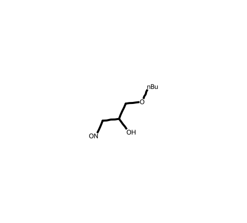 CCCCOCC(O)CN=O